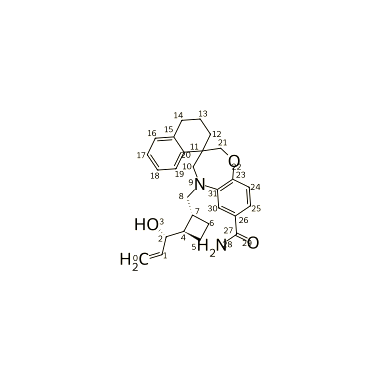 C=C[C@H](O)[C@@H]1CC[C@H]1CN1CC2(CCCc3ccccc32)COc2ccc(C(N)=O)cc21